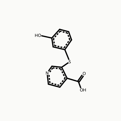 O=C(O)c1ccncc1Sc1cccc(O)c1